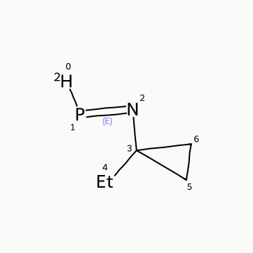 [2H]/P=N/C1(CC)CC1